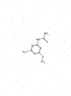 COc1cc(C)nc(NC(N)=O)n1